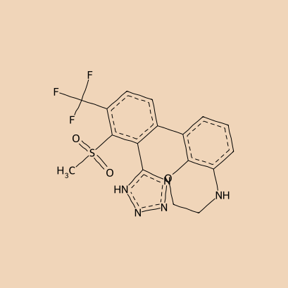 CS(=O)(=O)c1c(C(F)(F)F)ccc(-c2cccc3c2OCCN3)c1-c1nnn[nH]1